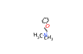 CN(C)/C=C/Oc1ccccc1